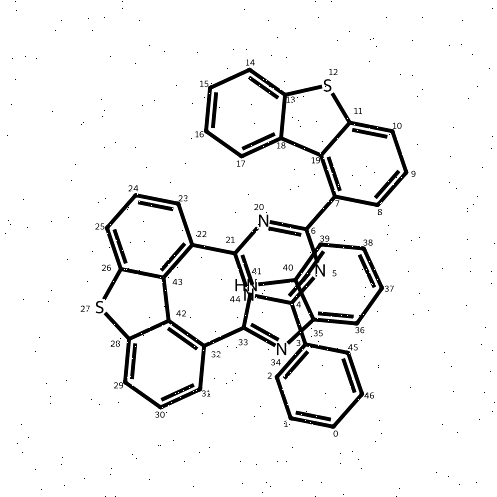 c1ccc(-c2nc(-c3cccc4sc5ccccc5c34)nc(-c3cccc4sc5cccc(-c6nc7ccccc7[nH]6)c5c34)n2)cc1